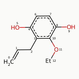 C=CCc1c(O)ccc(O)c1OCC